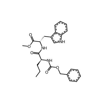 CCC[C@H](NC(=O)OCc1ccccc1)C(=O)N[C@@H](Cc1c[nH]c2ccccc12)C(=O)OC